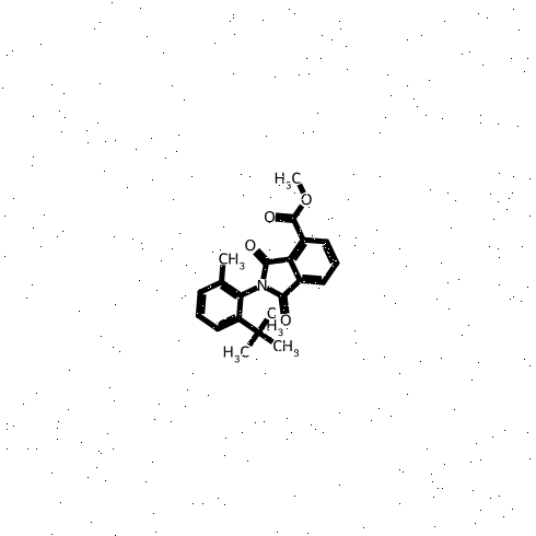 COC(=O)c1cccc2c1C(=O)N(c1c(C)cccc1C(C)(C)C)C2=O